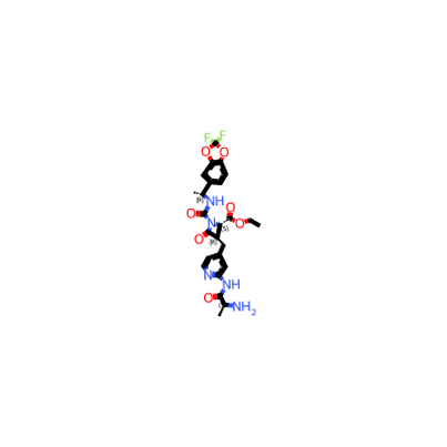 CCOC(=O)[C@@H]1[C@@H](Cc2ccnc(NC(=O)[C@H](C)N)c2)C(=O)N1C(=O)N[C@H](C)c1ccc2c(c1)OC(F)(F)O2